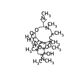 CO[C@]1(C)C[C@@H](C)CN(C)C(C2CN(C)C2)COC(=O)C(C)(C)C(=O)[C@H](C)[C@H]1O[C@@H]1O[C@H](C)C[C@H](N(C)C)[C@H]1O